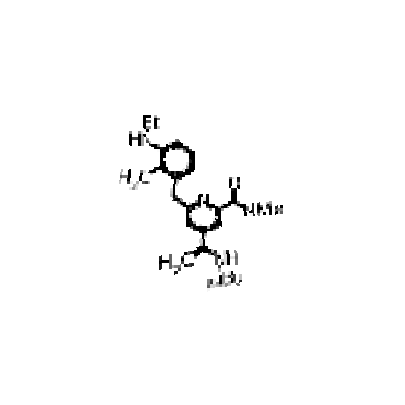 C=C(N[C@H](C)CC)c1cc(Cc2cccc(NCC)c2C)nc(C(=O)NC)c1